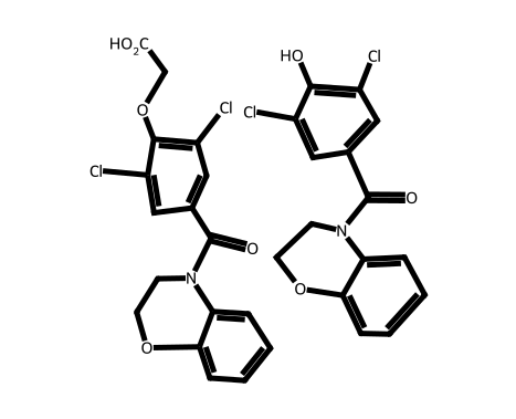 O=C(O)COc1c(Cl)cc(C(=O)N2CCOc3ccccc32)cc1Cl.O=C(c1cc(Cl)c(O)c(Cl)c1)N1CCOc2ccccc21